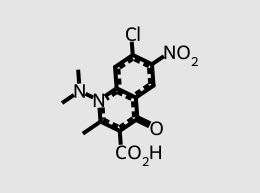 Cc1c(C(=O)O)c(=O)c2cc([N+](=O)[O-])c(Cl)cc2n1N(C)C